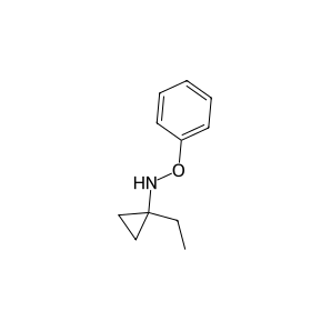 CCC1(NOc2ccccc2)CC1